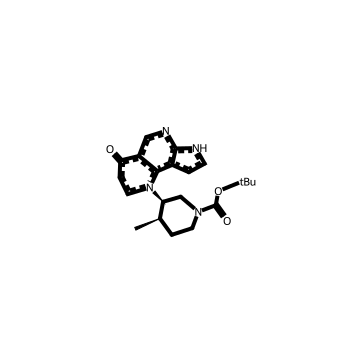 C[C@@H]1CCN(C(=O)OC(C)(C)C)C[C@@H]1n1ccc(=O)c2cnc3[nH]ccc3c21